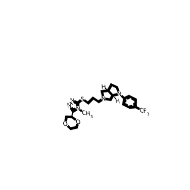 Cn1c(SCCCN2C[C@H]3CCN(c4ccc(C(F)(F)F)cc4)[C@H]3C2)nnc1[C@@H]1COCCO1